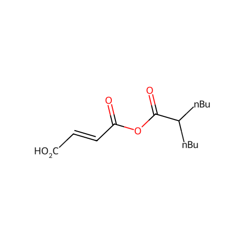 CCCCC(CCCC)C(=O)OC(=O)C=CC(=O)O